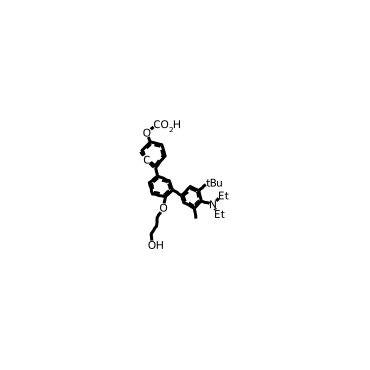 CCN(CC)c1c(C)cc(-c2cc(-c3ccc(OC(=O)O)cc3)ccc2OCCCO)cc1C(C)(C)C